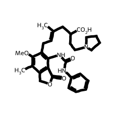 COc1c(C)c2c(c(NC(=O)Nc3ccccc3)c1C/C=C(\C)CC(CCN1CCCC1)C(=O)O)C(=O)OC2